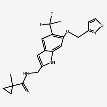 CC1(C(=O)NCc2cc3cc(C(F)(F)F)c(OCc4ccon4)cc3[nH]2)CC1